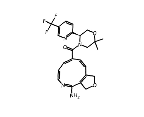 CC1(C)CN(C(=O)c2cccnc(N)c3c(cc2)COC3)[C@@H](c2ccc(C(F)(F)F)cn2)CO1